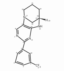 FC(F)(F)c1cccc(-c2ncc3c(n2)N[C@H]2CCCN3C2)c1